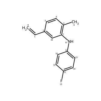 C=Cc1ccc(C)c(Nc2ccc(F)cc2)c1